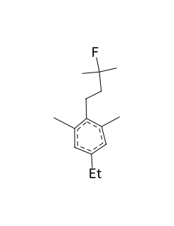 CCc1cc(C)c(CCC(C)(C)F)c(C)c1